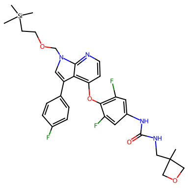 CC1(CNC(=O)Nc2cc(F)c(Oc3ccnc4c3c(-c3ccc(F)cc3)cn4COCC[Si](C)(C)C)c(F)c2)COC1